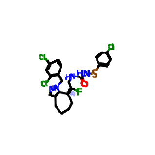 O=C(NC/C(F)=C1/CCCCc2cnn(Cc3ccc(Cl)cc3Cl)c21)NSc1ccc(Cl)cc1